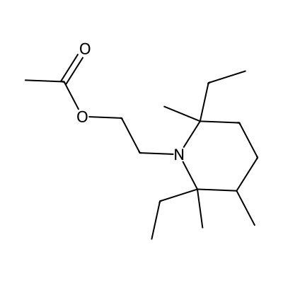 CCC1(C)CCC(C)C(C)(CC)N1CCOC(C)=O